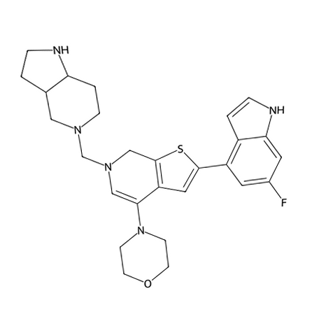 Fc1cc(-c2cc3c(s2)CN(CN2CCC4NCCC4C2)C=C3N2CCOCC2)c2cc[nH]c2c1